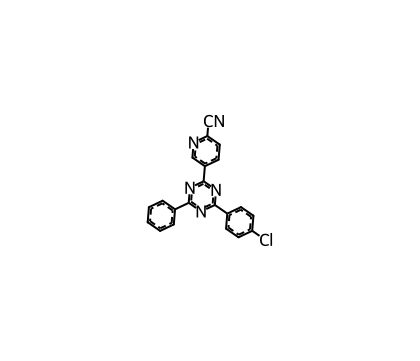 N#Cc1ccc(-c2nc(-c3ccccc3)nc(-c3ccc(Cl)cc3)n2)cn1